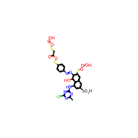 Cc1nc(Cl)nc(Nc2cc(S(=O)(=O)O)cc3cc(SOOO)c(N=Nc4ccc(SOC(=O)CSOOO)cc4)c(O)c23)n1